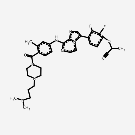 Cc1cc(Nc2nccn3c(-c4ccc(OC(C)C#N)c(F)c4F)cnc23)ccc1C(=O)N1CCN(CCCN(C)C)CC1